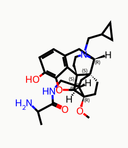 CO[C@]12CC[C@@]3(C[C@@H]1CNC(=O)C(C)N)[C@H]1Cc4ccc(O)c5c4[C@@]3(CCN1CC1CC1)[C@H]2O5